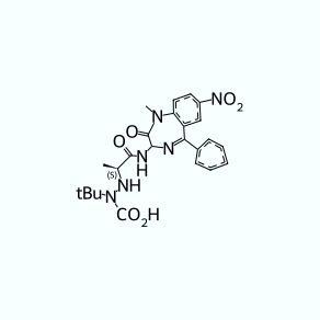 C[C@H](NN(C(=O)O)C(C)(C)C)C(=O)NC1N=C(c2ccccc2)c2cc([N+](=O)[O-])ccc2N(C)C1=O